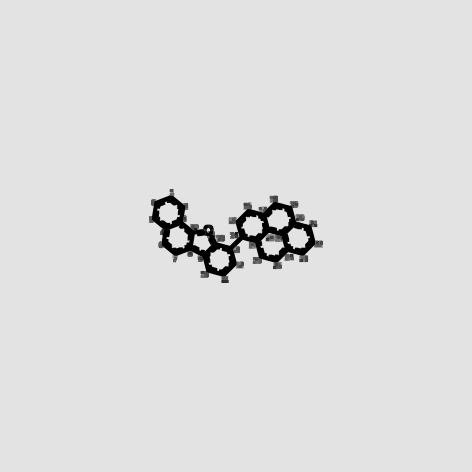 c1ccc2c(c1)ccc1c3cccc(-c4ccc5ccc6cccc7ccc4c5c67)c3oc21